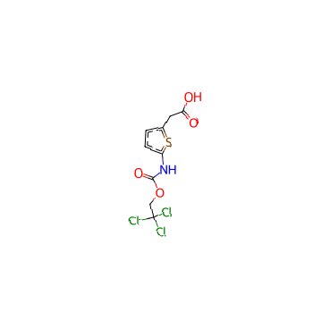 O=C(O)Cc1ccc(NC(=O)OCC(Cl)(Cl)Cl)s1